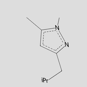 Cc1cc(CC(C)C)nn1C